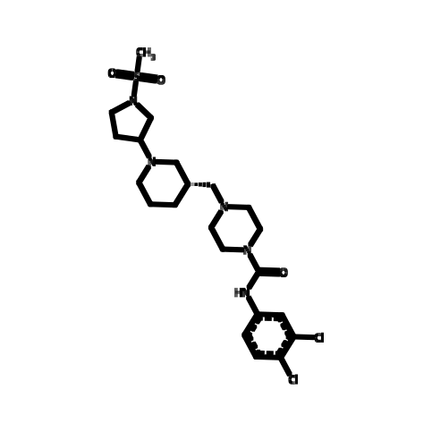 CS(=O)(=O)N1CCC(N2CCC[C@@H](CN3CCN(C(=O)Nc4ccc(Cl)c(Cl)c4)CC3)C2)C1